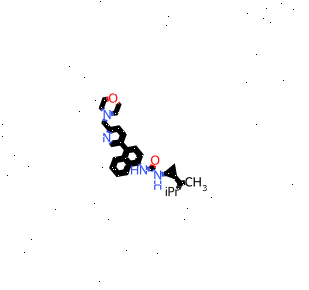 CC(C)C(C)C1CC1NC(=O)Nc1ccc(-c2ccc(CN3CCOCC3)nc2)c2ccccc12